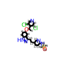 CC(Oc1ccc2[nH]nc(/C=C/c3ccc(N=S(C)(C)=O)nc3)c2c1)c1c(Cl)cncc1Cl